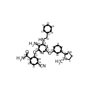 CN1CCN=C1c1cccc(Oc2nc(NCc3ccccc3)c(N)c(Oc3cc(C#N)ccc3C(N)=O)n2)c1